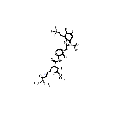 COC(=O)NC(CC/C=C/C(=O)N(C)C)C(=O)Nc1cccn(Cc2nc3c(CCC(F)(F)F)c(F)c(F)cc3n2C(=O)O)c1=O